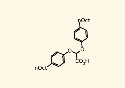 CCCCCCCCc1ccc(OC(Oc2ccc(CCCCCCCC)cc2)C(=O)O)cc1